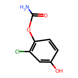 NC(=O)Oc1ccc(O)cc1Cl